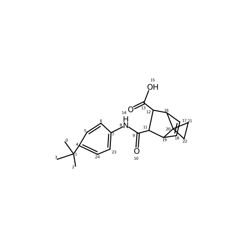 CC(C)(C)c1ccc(NC(=O)C2C(C(=O)O)C3C=CC2C32CC2)cc1